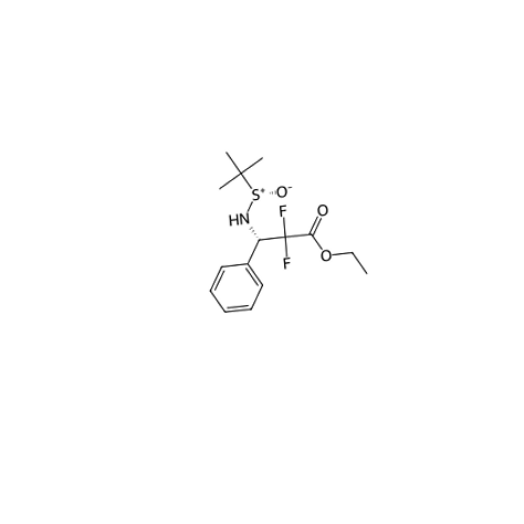 CCOC(=O)C(F)(F)[C@@H](N[S@@+]([O-])C(C)(C)C)c1ccccc1